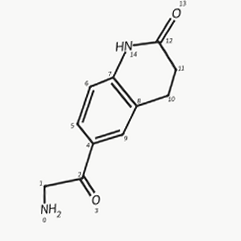 NCC(=O)c1ccc2c(c1)CCC(=O)N2